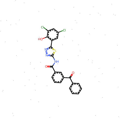 O=C(Nc1nnc(-c2cc(Cl)cc(Cl)c2O)s1)c1cccc(C(=O)c2ccccc2)c1